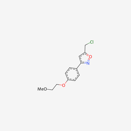 COCCOc1ccc(-c2cc(CCl)on2)cc1